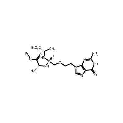 CCOC(=O)[C@H](C)NP(=O)(COCCn1cnc2c(=O)[nH]c(N)nc21)N[C@H](C)C(=O)OC(C)C